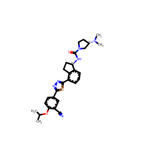 CC(C)Oc1ccc(-c2nnc(-c3cccc4c3CC[C@H]4NC(=O)N3CC[C@H](N(C)C)C3)s2)cc1C#N